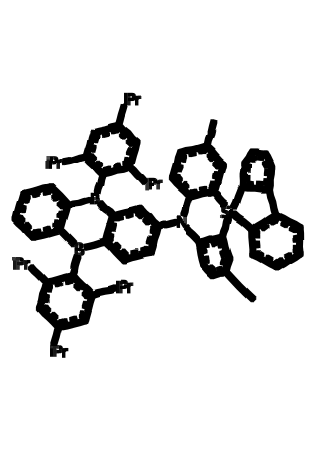 Cc1ccc2c(c1)[Si]1(c3ccccc3-c3ccccc31)c1cc(C)ccc1N2c1ccc2c(c1)B(c1c(C(C)C)cc(C(C)C)cc1C(C)C)c1ccccc1B2c1c(C(C)C)cc(C(C)C)cc1C(C)C